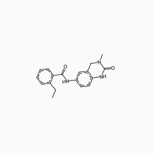 CCc1ccccc1C(=O)Nc1ccc2c(c1)CN(C)C(=O)N2